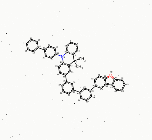 CC1(C)c2ccccc2N(c2ccc(-c3ccccc3)cc2)c2ccc(-c3cccc(-c4cccc(-c5ccc6oc7ccccc7c6c5)c4)c3)cc21